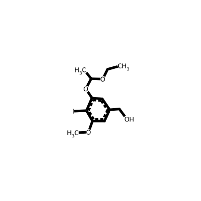 CCOC(C)Oc1cc(CO)cc(OC)c1I